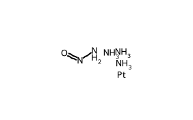 N.N.N.NN=O.[Pt]